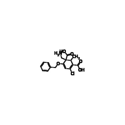 CC1C(C(=O)O)=C(Cl)C=C(OCc2ccccc2)C1(CN)C(=O)O